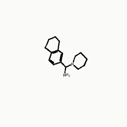 NC(c1ccc2c(c1)C[CH]CC2)N1CCCCC1